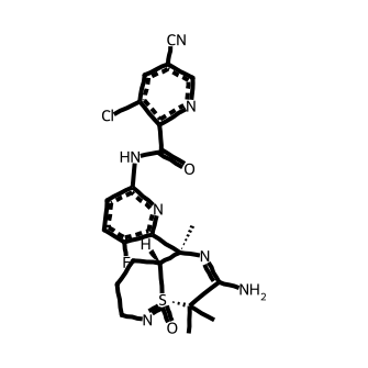 CC1(C)C(N)=N[C@](C)(c2nc(NC(=O)c3ncc(C#N)cc3Cl)ccc2F)[C@H]2CCCN=[S@]21=O